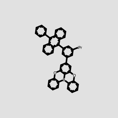 CC(C)c1cc(-c2cc3c4c(c2)Oc2ccccc2B4c2ccccc2O3)cc(-c2c3ccccc3c(-c3ccccc3)c3ccccc23)c1